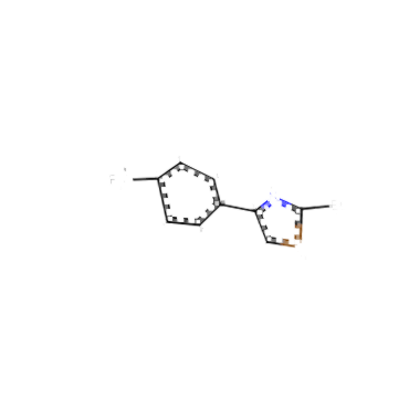 CCc1nc(-c2ccc(C(F)(F)F)cc2)cs1